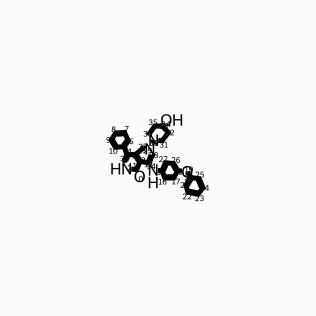 O=c1[nH]cc(-c2ccccc2)c2c1C(Nc1ccc(Oc3ccccc3)cc1)=CN(N1CCC(O)CC1)C2